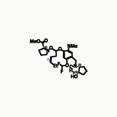 CC/C=C\CC(Oc1cc(OC(F)F)c(CN(C)[C@@H]2CCC[C@@H]2O)cc1NC)ON1CCC[C@H]1C(=O)OC